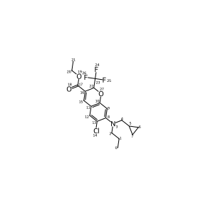 CCCN(CC1CC1)c1cc2c(cc1Cl)C=C(C(=O)OCC)C(C(F)(F)F)O2